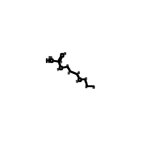 CCCOCCCOC(=O)O